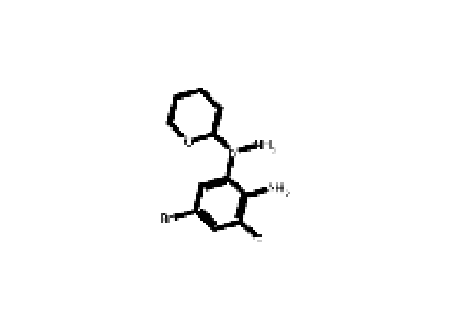 Nc1c(F)cc(Br)cc1N(N)C1CCCCO1